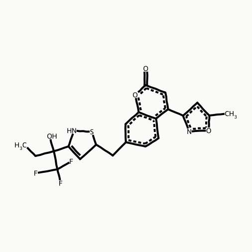 CCC(O)(C1=CC(Cc2ccc3c(-c4cc(C)on4)cc(=O)oc3c2)SN1)C(F)(F)F